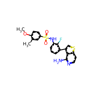 COc1ccc(S(=O)(=O)Nc2cccc(-c3csc4ccnc(N)c34)c2F)cc1C